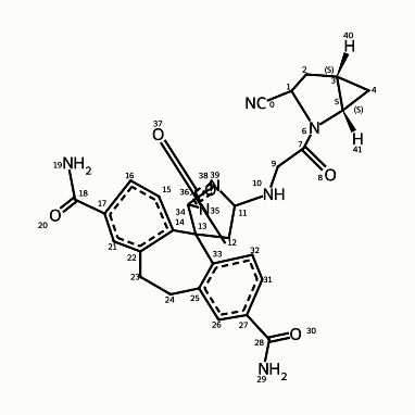 N#CC1C[C@@H]2C[C@@H]2N1C(=O)CNC1CC2(c3ccc(C(N)=O)cc3CCc3cc(C(N)=O)ccc32)c2nc(=O)on21